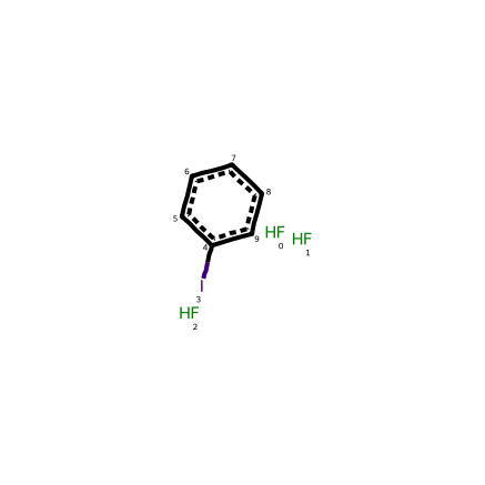 F.F.F.Ic1ccccc1